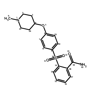 CN1CCC(Oc2ccc(S(=O)(=O)c3ccccc3C(N)=O)cc2)CC1